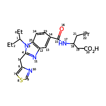 CCC(CC)n1c(Cc2cscn2)nc2cc(C(=O)NC(CC(=O)O)CC(C)C)ccc21